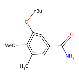 CCCCOc1cc(C(N)=O)cc(C)c1OC